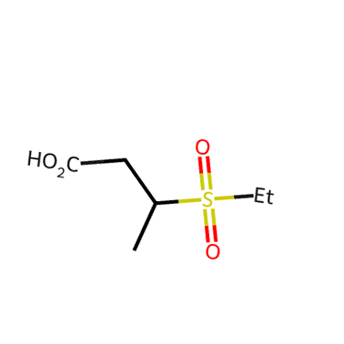 CCS(=O)(=O)C(C)CC(=O)O